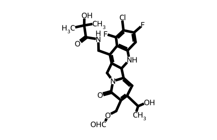 CC(O)c1cc2n(c(=O)c1COC=O)CC1=C(CNC(=O)C(C)(C)O)c3c(cc(F)c(Cl)c3F)NC12